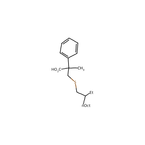 CCCCCCCCC(CC)CSCC(C)(C(=O)O)c1ccccc1